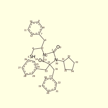 O=C1N(C(CS)Cc2ccccc2)C(=O)C(Cc2ccccc2)(Cc2ccccc2)N1C1CCCC1